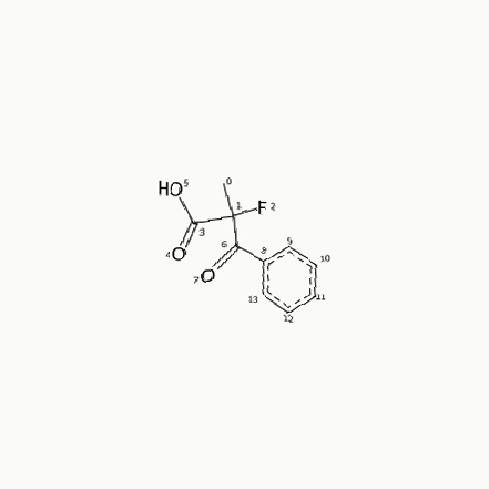 CC(F)(C(=O)O)C(=O)c1ccccc1